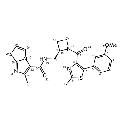 COc1cccc(-c2sc(C)nc2C(=O)N2CC[C@@H]2CNC(=O)c2c(C)nc3sccn23)c1